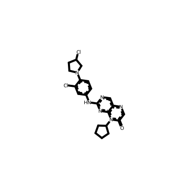 O=c1cnc2cnc(Nc3ccc(N4CCC(Cl)C4)c(Cl)c3)nc2n1C1CCCC1